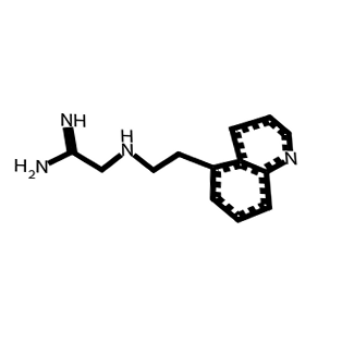 N=C(N)CNCCc1cccc2ncccc12